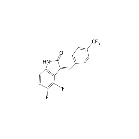 O=C1Nc2ccc(F)c(F)c2C1=Cc1ccc(C(F)(F)F)cc1